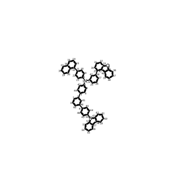 c1cc(-c2ccc(N(c3ccc(-c4cccc5ccccc45)cc3)c3cccc(-c4cccc5oc6ccccc6c45)c3)cc2)cc(-c2ccc(-n3c4ccccc4c4ccccc43)cc2)c1